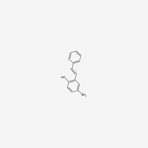 Bc1ccc(O)c(/C=N/c2ccccc2)c1